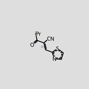 CC(C)C(=O)/C(C#N)=C/c1nccs1